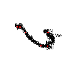 COc1cnc(-n2cnc(C(=O)NCCCCN(CCN3CCN(CCOCCOCCOCCOCc4cn(CCOCCOCCOCCOCCC(=O)Oc5c(F)cc(F)cc5F)nn4)CC3)C(CO)CO)n2)c2[nH]cc(C(=O)C(=O)N3CCC(=C(C#N)c4ccccc4)CC3)c12